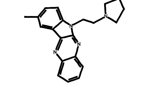 Cc1ccc2c(c1)c1nc3ccccc3nc1n2CCN1CCCC1